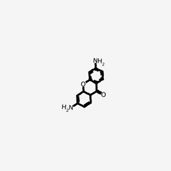 NC1=CC2Oc3cc(N)ccc3C(=O)C2C=C1